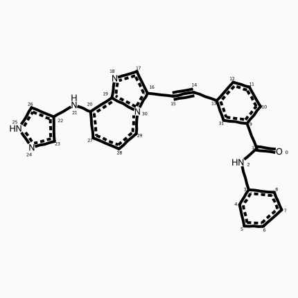 O=C(Nc1ccccc1)c1cccc(C#Cc2cnc3c(Nc4cn[nH]c4)cccn23)c1